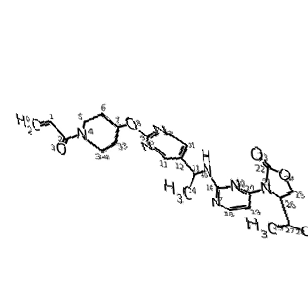 C=CC(=O)N1CCC(Oc2ncc(C(C)Nc3nccc(N4C(=O)OCC4C(C)C)n3)cn2)CC1